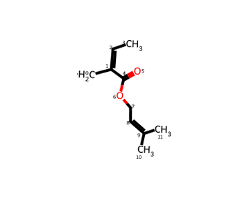 [CH2]/C(=C/C)C(=O)OCC=C(C)C